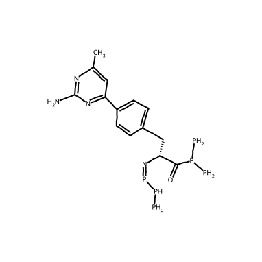 Cc1cc(-c2ccc(C[C@@H](/N=P\PP)C(=O)P(P)P)cc2)nc(N)n1